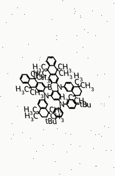 CC(C)(C)c1ccc(N(c2ccc(C(C)(C)C)cc2)c2cc3c4c(c2)N(c2ccc5c(c2)C(C)(C)CCC5(C)C)c2cc5c(cc2B4c2cc4c(cc2N3c2ccc3c(c2)C(C)(C)CCC3(C)C)C(C)(C)c2ccccc2C4(C)C)C(C)(C)c2ccccc2C5(C)C)cc1